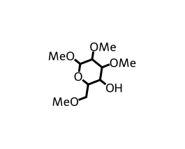 COCC1OC(OC)C(OC)C(OC)C1O